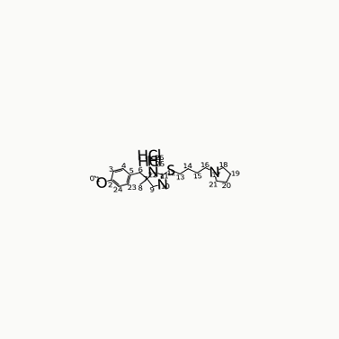 COc1ccc(CC2(C)CN=C(SCCCCN3CCCC3)N2)cc1.Cl.Cl